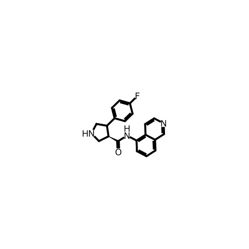 O=C(Nc1cccc2cnccc12)[C@H]1CNCC1c1ccc(F)cc1